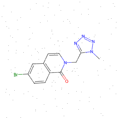 Cn1nnnc1Cn1ccc2cc(Br)ccc2c1=O